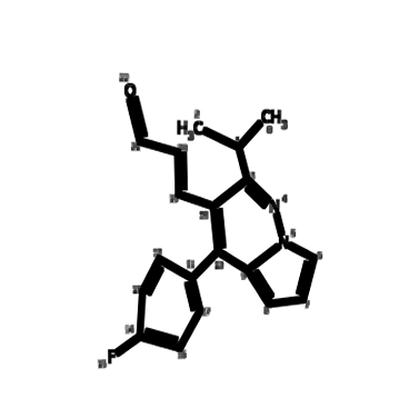 CC(C)c1nn2cccc2c(-c2ccc(F)cc2)c1/C=C/C=O